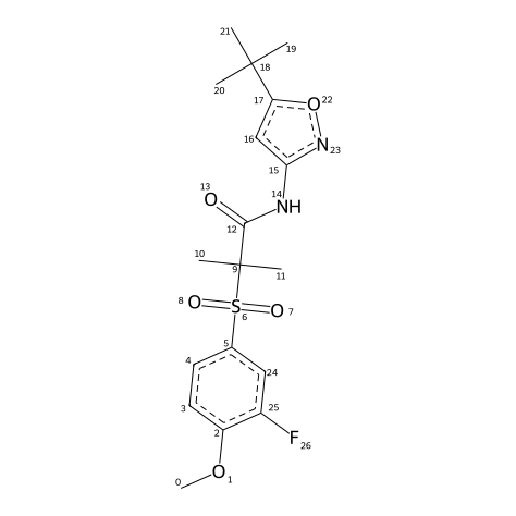 COc1ccc(S(=O)(=O)C(C)(C)C(=O)Nc2cc(C(C)(C)C)on2)cc1F